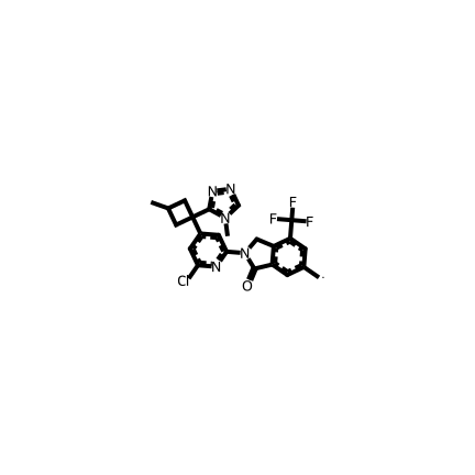 [CH2]c1cc2c(c(C(F)(F)F)c1)CN(c1cc(C3(c4nncn4C)CC(C)C3)cc(Cl)n1)C2=O